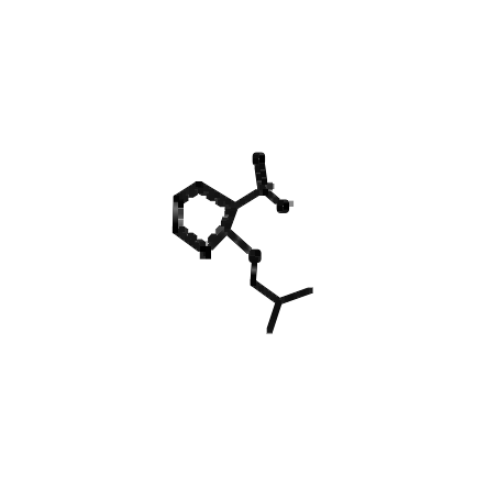 CC(C)COc1ncccc1[N+](=O)[O-]